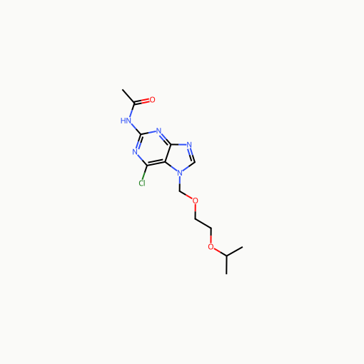 CC(=O)Nc1nc(Cl)c2c(ncn2COCCOC(C)C)n1